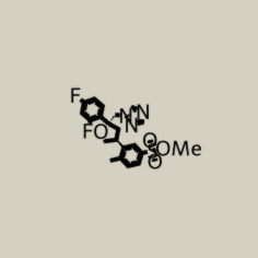 COS(=O)(=O)c1ccc(C)c([C@H]2CO[C@@](Cn3cncn3)(c3ccc(F)cc3F)C2)c1